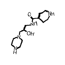 O=C(NCC(O)CN1CCNCC1)C1CCNCC1